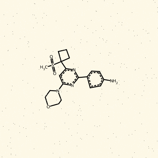 CS(=O)(=O)C1(c2cc(N3CCOCC3)nc(-c3ccc(N)cc3)n2)CCC1